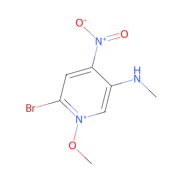 CNc1c[n+](OC)c(Br)cc1[N+](=O)[O-]